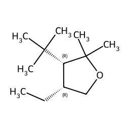 CC[C@H]1COC(C)(C)[C@H]1C(C)(C)C